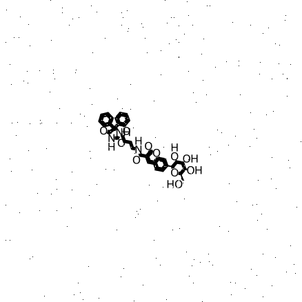 O=C1NC(=O)C(c2ccccc2)(c2ccccc2OCCCCNC(=O)c2cc3ccc([C@@H]4O[C@H](CO)[C@H](O)[C@H](O)[C@H]4O)cc3oc2=O)N1